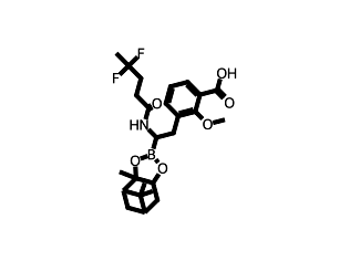 COc1c(CC(NC(=O)CCC(C)(F)F)B2OC3CC4CC(C4(C)C)C3(C)O2)cccc1C(=O)O